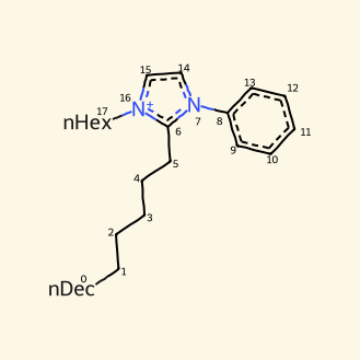 CCCCCCCCCCCCCCCc1n(-c2ccccc2)cc[n+]1CCCCCC